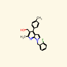 Cc1ccc(-c2c(CO)c(C)nc3c2ccn3Cc2ccccc2F)cc1